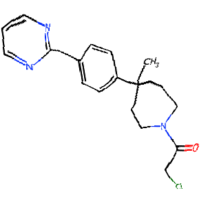 CC1(c2ccc(-c3ncccn3)cc2)CCN(C(=O)CCl)CC1